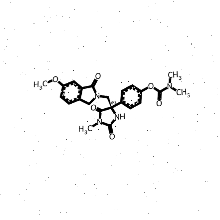 COc1ccc2c(c1)C(=O)N(C[C@@]1(c3ccc(OC(=O)N(C)C)cc3)NC(=O)N(C)C1=O)C2